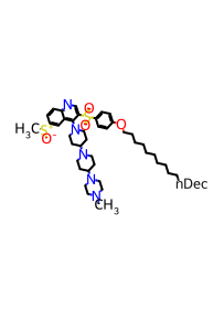 CCCCCCCCCCCCCCCCCCCCOc1ccc(S(=O)(=O)c2cnc3ccc([S+](C)[O-])cc3c2N2CCC(N3CCC(N4CCN(C)CC4)CC3)CC2)cc1